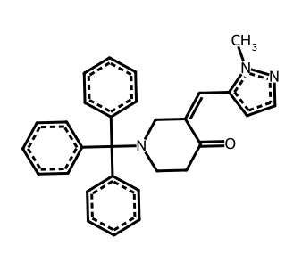 Cn1nccc1C=C1CN(C(c2ccccc2)(c2ccccc2)c2ccccc2)CCC1=O